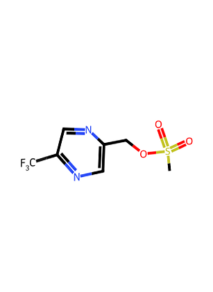 CS(=O)(=O)OCc1cnc(C(F)(F)F)cn1